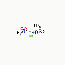 CCOc1ccccc1N1CCN(CCCCC2CN(C)C(=O)O2)CC1.Cl.Cl